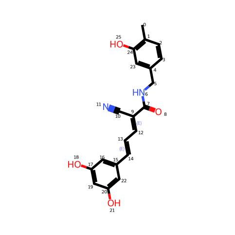 Cc1ccc(CNC(=O)/C(C#N)=C/C=C/c2cc(O)cc(O)c2)cc1O